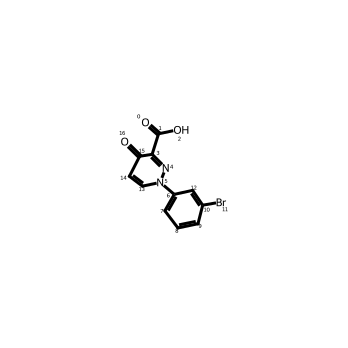 O=C(O)c1nn(-c2cccc(Br)c2)ccc1=O